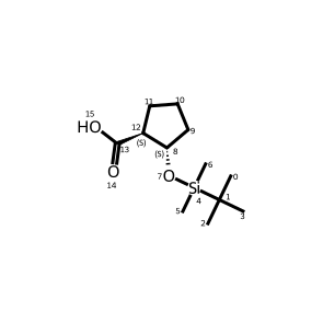 CC(C)(C)[Si](C)(C)O[C@H]1CCC[C@@H]1C(=O)O